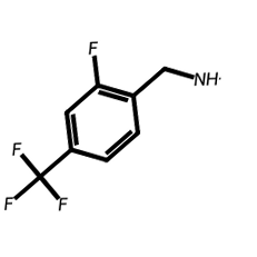 [NH]Cc1ccc(C(F)(F)F)cc1F